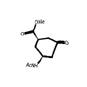 COC(=O)[C@H]1CC(=O)C[C@@H](NC(C)=O)C1